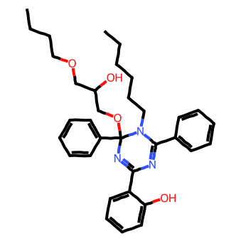 CCCCCCN1C(c2ccccc2)=NC(c2ccccc2O)=NC1(OCC(O)COCCCC)c1ccccc1